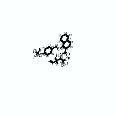 C=CC(C)(C)C(NC(=O)c1ccc2ccccc2c1OCc1ccc(OC(F)(F)F)cc1)C(=O)O